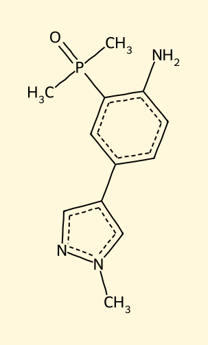 Cn1cc(-c2ccc(N)c(P(C)(C)=O)c2)cn1